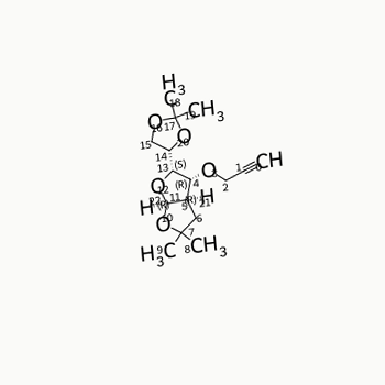 C#CCO[C@@H]1[C@H]2CC(C)(C)O[C@H]2O[C@@H]1C1COC(C)(C)O1